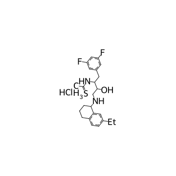 CCc1ccc2c(c1)C(NCC(O)C(Cc1cc(F)cc(F)c1)NC(C)=S)CCC2.Cl